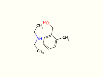 CCNCC.Cc1ccccc1CO